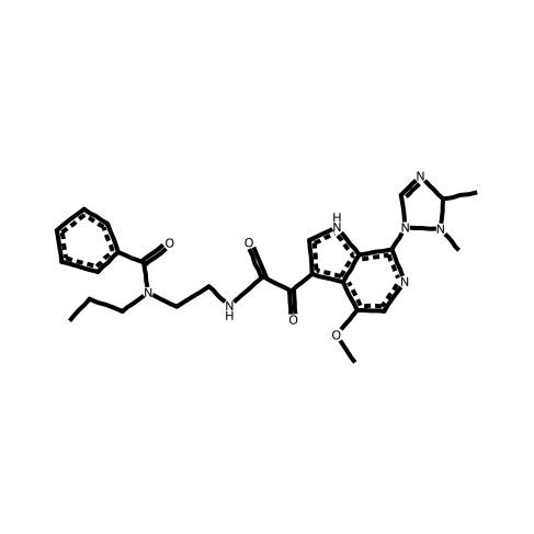 CCCN(CCNC(=O)C(=O)c1c[nH]c2c(N3C=NC(C)N3C)ncc(OC)c12)C(=O)c1ccccc1